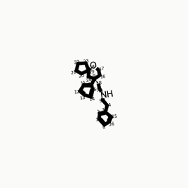 c1ccc(CCNCC[C@@]2(c3ccccc3)CCOC3(CCCC3)C2)cc1